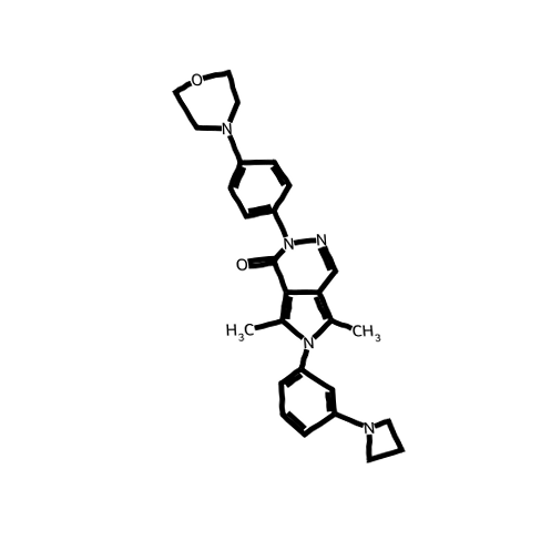 Cc1c2cnn(-c3ccc(N4CCOCC4)cc3)c(=O)c2c(C)n1-c1cccc(N2CCC2)c1